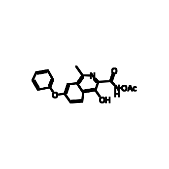 CC(=O)ONC(=O)c1nc(C)c2cc(Oc3ccccc3)ccc2c1O